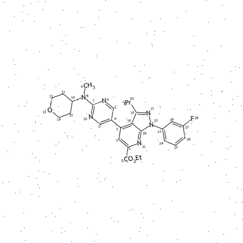 CCOC(=O)c1cc(-c2cnc(N(C)C3CCOCC3)nc2)c2c(C(C)C)nn(-c3cccc(F)c3)c2n1